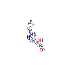 CC(=O)CN1CCC(Cn2cc(F)c3c(N(Cc4ccc(C(F)(F)F)cn4)C4CC4)ncnc32)[C@@H](O)C1